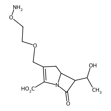 CC(O)C1C(=O)N2C(C(=O)O)=C(COCCON)CC12